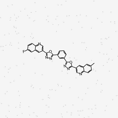 Cc1ccc2ncc(-c3nnc(-c4cccc(-c5nnc(-c6cnc7ccc(F)cc7c6)o5)c4)o3)cc2c1